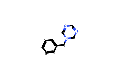 C1=NC=NCN1Cc1ccccc1